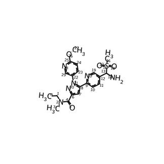 CCN(C)C(=O)c1cc(-c2ccc(C(N)S(C)(=O)=O)cn2)n(-c2ccc(OC)nc2)n1